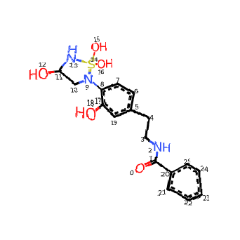 O=C(NCCc1ccc(N2CC(O)NS2(O)O)c(O)c1)c1ccccc1